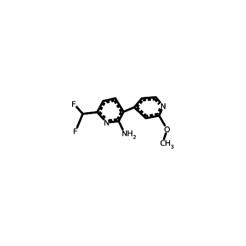 COc1cc(-c2ccc(C(F)F)nc2N)ccn1